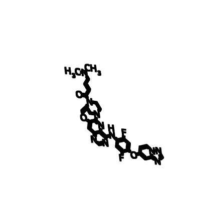 CN(C)C/C=C/C(=O)N1CCN2CC1=COc1cc3ncnc(Nc4cc(F)c(Oc5ccn6ncnc6c5)cc4F)c3nc12